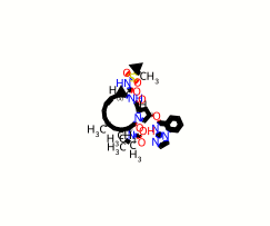 C[C@@H]1CCC=C[C@@H]2C[C@@]2(C(=O)NS(=O)(=O)C2(C)CC2)NC(=O)[C@@H]2C[C@@H](Oc3nc4nccn4c4ccccc34)CN2C(=O)[C@@H](N(C(=O)O)C(C)(C)C)[C@H](C)C1